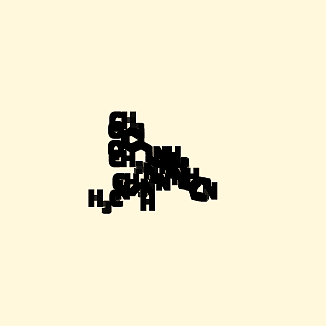 COc1ccc(CCC2(N)N=C(NCCN(C)C)N=C(NCc3ccncc3)N2)cc1OC